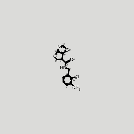 O=C(NCc1cccc(C(F)(F)F)c1Cl)C1COc2ncsc21